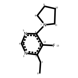 CCc1ncnc(N2CCCC2)c1F